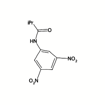 CC(C)C(=O)Nc1cc([N+](=O)[O-])cc([N+](=O)[O-])c1